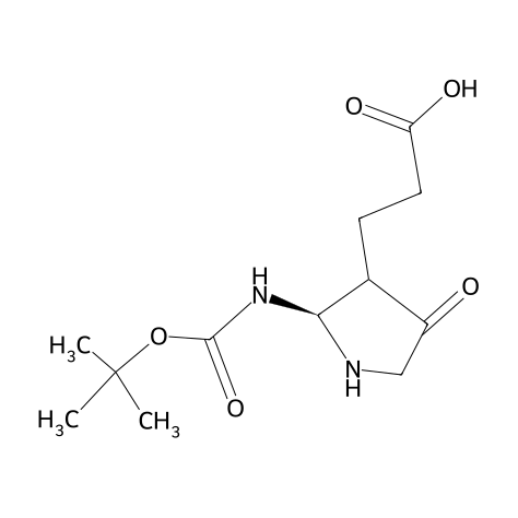 CC(C)(C)OC(=O)N[C@@H]1NCC(=O)C1CCC(=O)O